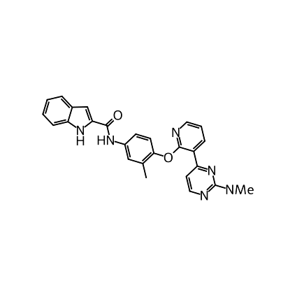 CNc1nccc(-c2cccnc2Oc2ccc(NC(=O)c3cc4ccccc4[nH]3)cc2C)n1